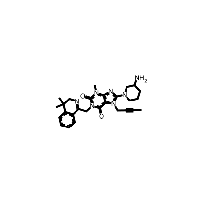 CC#CCn1c(N2CCCC(N)C2)nc2c1c(=O)n(CC1=NCC(C)(C)c3ccccc31)c(=O)n2C